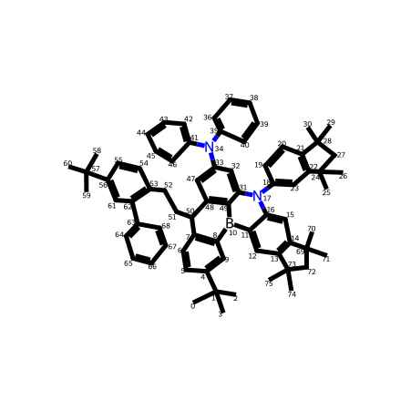 CC(C)(C)c1ccc2c(c1)B1c3cc4c(cc3N(c3ccc5c(c3)C(C)(C)CC5(C)C)c3cc(N(c5ccccc5)c5ccccc5)cc(c31)C2CCc1ccc(C(C)(C)C)cc1-c1ccccc1)C(C)(C)CC4(C)C